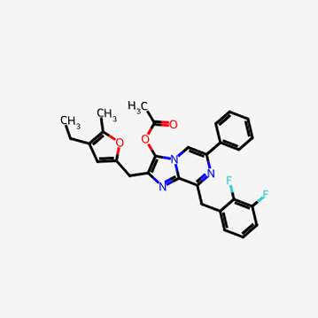 CCc1cc(Cc2nc3c(Cc4cccc(F)c4F)nc(-c4ccccc4)cn3c2OC(C)=O)oc1C